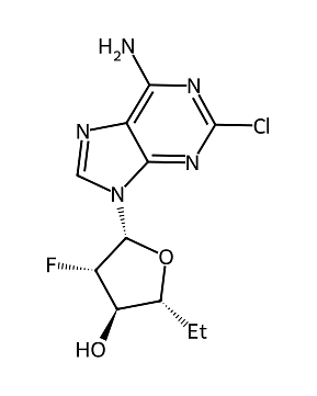 CC[C@H]1O[C@@H](n2cnc3c(N)nc(Cl)nc32)[C@@H](F)[C@@H]1O